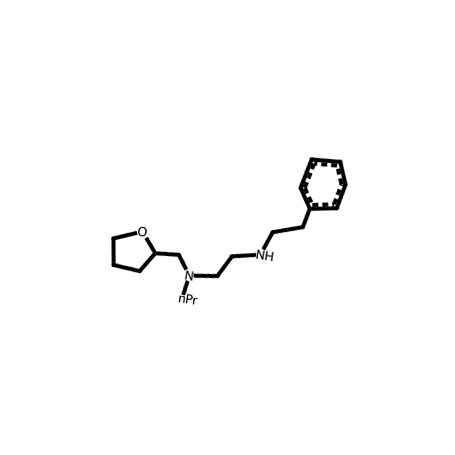 CCCN(CCNCCc1ccccc1)CC1CCCO1